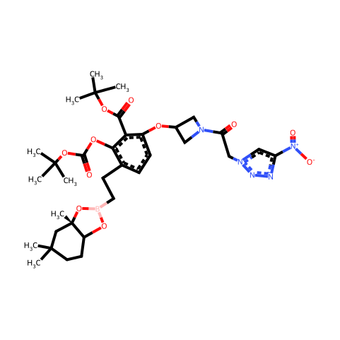 CC1(C)CCC2OB(CCc3ccc(OC4CN(C(=O)Cn5cc([N+](=O)[O-])nn5)C4)c(C(=O)OC(C)(C)C)c3OC(=O)OC(C)(C)C)O[C@@]2(C)C1